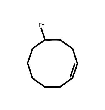 [CH2]CC1CCC=CCCCCC1